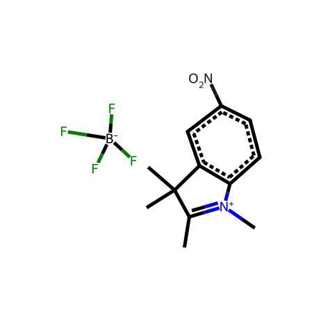 CC1=[N+](C)c2ccc([N+](=O)[O-])cc2C1(C)C.F[B-](F)(F)F